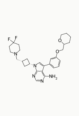 Nc1ncnc2c1c(-c1cccc(OCC3CCCCO3)c1)cn2[C@H]1C[C@@H](CN2CCC(F)(F)CC2)C1